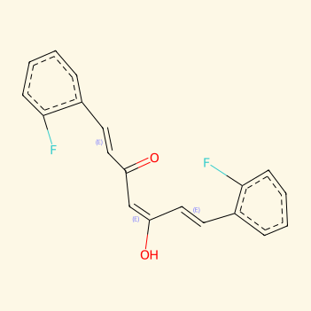 O=C(/C=C/c1ccccc1F)/C=C(O)\C=C\c1ccccc1F